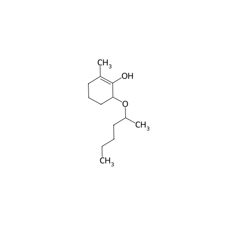 CCCCC(C)OC1CCCC(C)=C1O